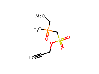 C#CCOS(=O)(=O)CP(C)(=O)COC